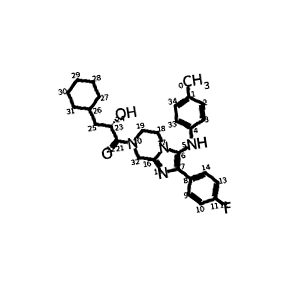 Cc1ccc(Nc2c(-c3ccc(F)cc3)nc3n2CCN(C(=O)[C@@H](O)CC2CCCCC2)C3)cc1